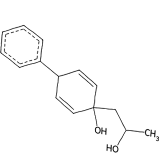 CC(O)CC1(O)C=CC(c2ccccc2)C=C1